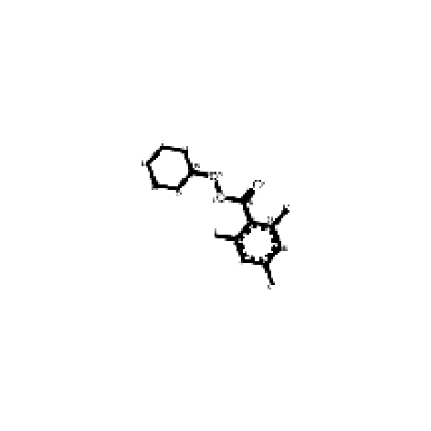 Cc1cc(C)c(C(=O)OO[C]2CCCCC2)c(C)c1